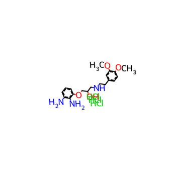 COc1ccc(CCNCC(O)COc2cccc(N)c2N)cc1OC.Cl.Cl.Cl